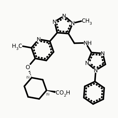 Cc1nc(-c2nnn(C)c2CNc2ncn(-c3ccccc3)n2)ccc1O[C@H]1CCC[C@H](C(=O)O)C1